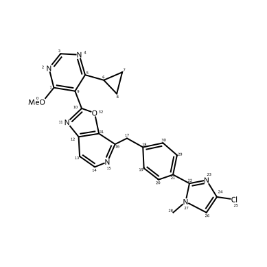 COc1ncnc(C2CC2)c1-c1nc2ccnc(Cc3ccc(-c4nc(Cl)cn4C)cc3)c2o1